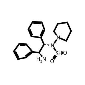 N[C@@H](c1ccccc1)[C@H](c1ccccc1)N(N1CCCCC1)[SH](=O)=O